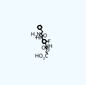 N[C@@H](Cc1ccccc1)C(=O)Nc1ccc(NC(=O)OCCC(=O)O)c(F)c1